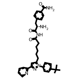 CC(C)(C)c1ccc(-n2nc(-c3ccccn3)cc2CCCCCC(=O)NC(=O)[C@@H](N)Cc2ccc(C(N)=O)cc2)cc1